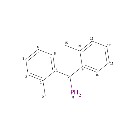 Cc1ccccc1C(P)c1ccccc1C